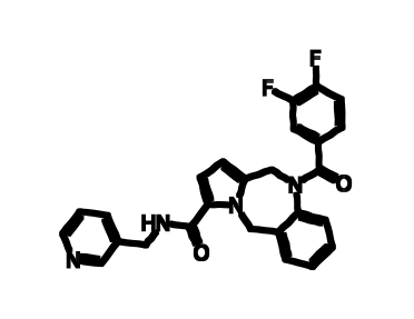 O=C(NCc1cccnc1)c1ccc2n1Cc1ccccc1N(C(=O)c1ccc(F)c(F)c1)C2